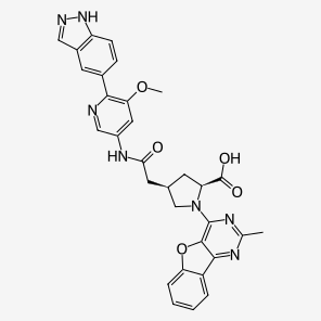 COc1cc(NC(=O)C[C@H]2C[C@@H](C(=O)O)N(c3nc(C)nc4c3oc3ccccc34)C2)cnc1-c1ccc2[nH]ncc2c1